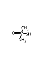 CP(N)(=O)S